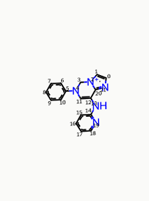 C1=C[N+]2CN(c3ccccc3)C=C(Nc3ccccn3)C2=N1